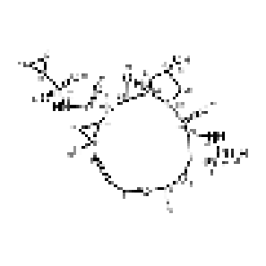 CC[C@@H]1O[C@H](C)CCC=C[C@@H]2C[C@@]2(C(=O)NS(=O)(=O)C2CC2)NC(=O)[C@@H]2C[C@@H](O)CN2C(=O)[C@H]1NC(=O)O